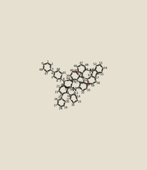 c1ccc(-c2ccc(-c3ccc(N(c4ccccc4-c4ccccc4-c4ccccc4)c4cccc5c4-c4ccccc4C54c5ccccc5-n5c6ccccc6c6cccc4c65)cc3)cc2)cc1